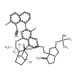 C#Cc1c(F)ccc2cccc(-c3nc4c5c(nc(OCC67CC(O[Si](C)(C)C(C)(C)C)CN6CCC7=C)nc5c3F)N3C[C@H]5CC[C@@H]([C@H]3[C@H](C)O4)N5C(=O)OC(C)(C)C)c12